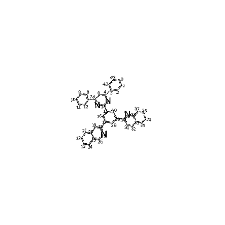 c1ccc(-c2cc(-c3ccccc3)nc(-c3cc(-c4cc5ccccc5cn4)cc(-c4ccc5ccccc5n4)c3)n2)cc1